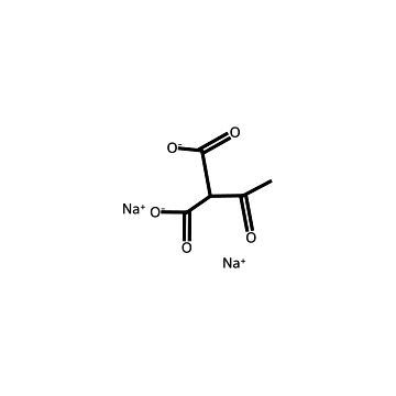 CC(=O)C(C(=O)[O-])C(=O)[O-].[Na+].[Na+]